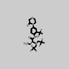 NC[C@@H](C(=O)Nc1ccc(N2CCOCC2=O)cc1C(F)(F)F)N(CC(F)(F)F)CC(F)(F)F